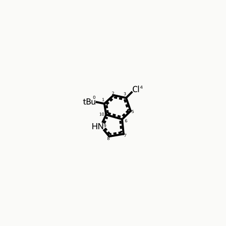 CC(C)(C)c1cc(Cl)cc2cc[nH]c12